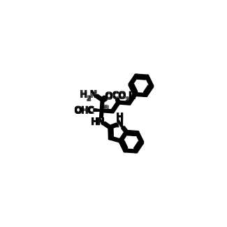 NC(=O)[C@](C=O)(CC(Cc1ccccc1)C(=O)O)Nc1cc2ccccc2[nH]1